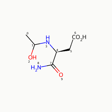 CC(O)N[C@@H](CC(=O)O)C(N)=O